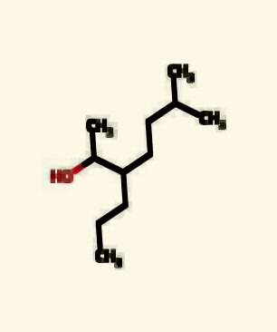 CCCC(CCC(C)C)C(C)O